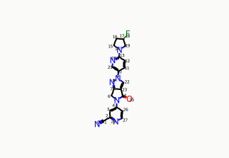 N#Cc1cc(N2Cc3nn(-c4ccc(N5CC[C@@H](F)C5)nc4)cc3C2=O)ccn1